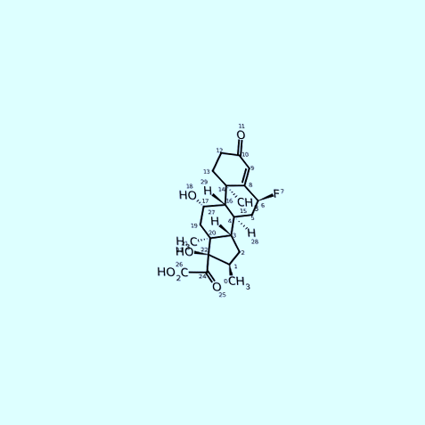 C[C@@H]1C[C@H]2[C@@H]3C[C@H](F)C4=CC(=O)CC[C@]4(C)[C@H]3[C@@H](O)C[C@]2(C)[C@@]1(O)C(=O)C(=O)O